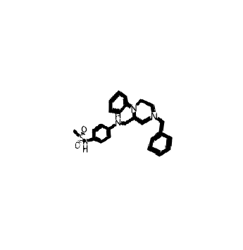 CS(=O)(=O)Nc1ccc(NCC2CN(Cc3ccccc3)CCN2c2ccccc2)cc1